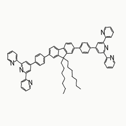 CCCCCCCC1(CCCCCCC)c2cc(-c3ccc(-c4cc(-c5ccccn5)nc(-c5ccccn5)c4)cc3)ccc2-c2ccc(-c3ccc(-c4cc(-c5ccccn5)nc(-c5ccccn5)c4)cc3)cc21